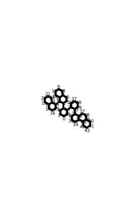 c1ccc(-c2ccc3ccccc3c2-c2cccc3ccccc23)c(-c2ccccc2-c2cccc3c2ccc2ccccc23)c1